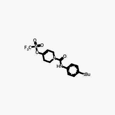 CC(C)(C)c1ccc(NC(=O)N2CC=C(OS(=O)(=O)C(F)(F)F)CC2)cc1